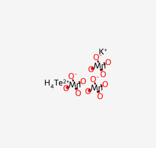 [K+].[O]=[Mn](=[O])(=[O])[O-].[O]=[Mn](=[O])(=[O])[O-].[O]=[Mn](=[O])(=[O])[O-].[TeH4+2]